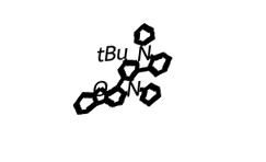 CC(C)(C)c1cc2c3c4oc5ccccc5c4ccc3n(-c3ccccc3)c2c2c3ccccc3n(-c3ccccc3)c12